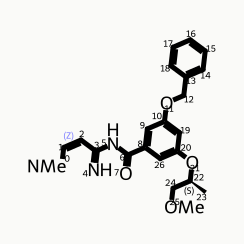 CN/C=C\C(=N)NC(=O)c1cc(OCc2ccccc2)cc(O[C@@H](C)COC)c1